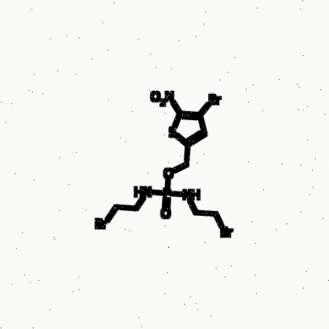 O=[N+]([O-])c1sc(COP(=O)(NCCBr)NCCBr)cc1Br